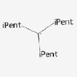 CCCC(C)[C](C(C)CCC)C(C)CCC